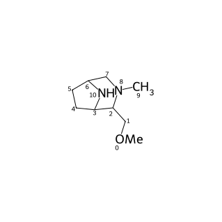 COCC1C2CCC(CN1C)N2